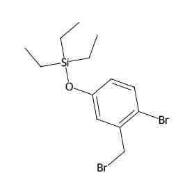 CC[Si](CC)(CC)Oc1ccc(Br)c(CBr)c1